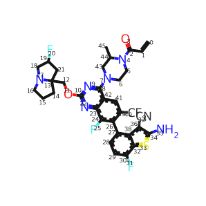 C=CC(=O)N1CCN(c2nc(OCC34CCCN3CC(F)C4)nc3c(F)c(-c4ccc(F)c5sc(N)c(C#N)c45)c(C(F)(F)F)cc23)CC1C